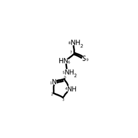 C1=NCCN1.NNC(N)=S